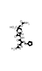 NC(=O)OCC1(C(=O)O)CS[C@@H]2C(NC(=O)C(=NOC3C=CCC3)c3nsc(N)n3)C(=O)N2C1